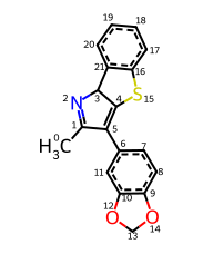 CC1=NC2C(=C1c1ccc3c(c1)OCO3)Sc1ccccc12